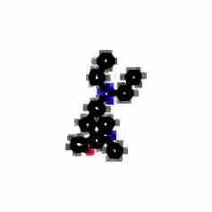 c1ccc(-c2cccc(-c3nc(-c4ccc(-c5cccc(-c6c7c(cc8c(-c9ccccc9)nc9ccccc9c68)oc6ccccc67)c5)cc4)nc(-c4cccc(-c5ccccc5)c4)n3)c2)cc1